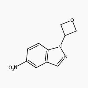 O=[N+]([O-])c1ccc2c(cnn2C2COC2)c1